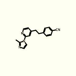 Cc1nccn1-c1cc(CCc2ccc(C#N)cc2)ccn1